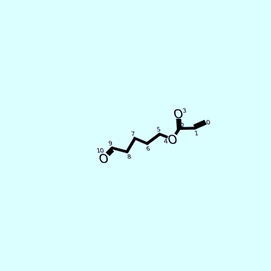 C=CC(=O)OCCCCC=O